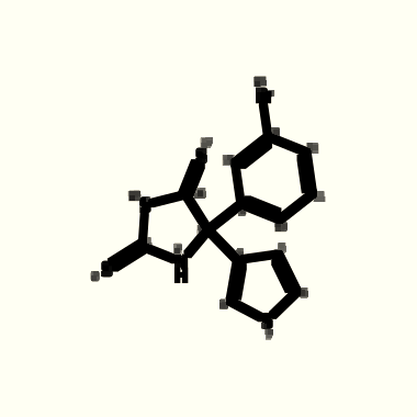 S=C1NC(c2ccsc2)(c2cccc(Br)c2)C(=S)S1